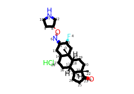 C[C@]12CC(F)/C(=N\O[C@@H]3CCNC3)CC1CC[C@@H]1[C@H]2CC[C@]2(C)C(=O)CC[C@@H]12.Cl